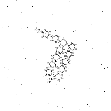 [Cl-].[Cl-].[Cl-].[Cl-].[Ru+4].c1ccc(-c2ccccn2)nc1.c1ccc(-c2ccccn2)nc1.c1ccc(-c2ccccn2)nc1.c1ccc(-c2ccccn2)nc1.c1ccc(-c2ccccn2)nc1.c1ccc(-c2ccccn2)nc1